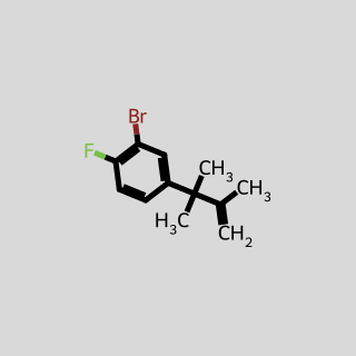 C=C(C)C(C)(C)c1ccc(F)c(Br)c1